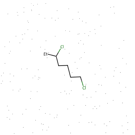 [CH2]CC(Cl)CCCCCl